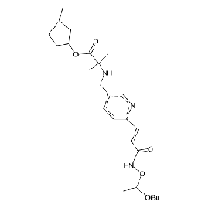 CC(C)COC(C)ONC(=O)/C=C/c1ccc(CNC(C)(C)C(=O)OC2CCC(C)C2)cn1